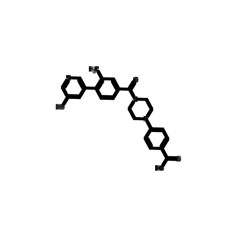 Cc1cc(C(=O)N2CCN(c3ccc(C(=O)O)cc3)CC2)ccc1-c1cncc(O)c1